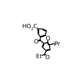 CCC(=O)c1cc(C(C)C)c2oc3ccc(C(=O)O)cc3c(=O)c2c1